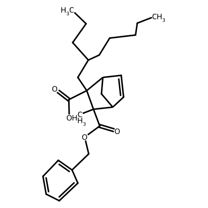 CCCCCC(CCC)CC1(C(=O)O)C2C=CC(C2)C1(C)C(=O)OCc1ccccc1